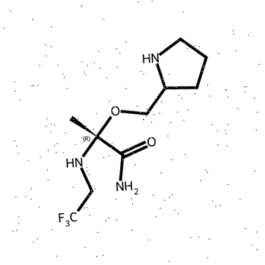 C[C@@](NCC(F)(F)F)(OCC1CCCN1)C(N)=O